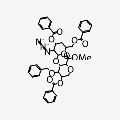 COC(=O)C1OCC(OC(=O)c2ccccc2)C(OCc2ccccc2)C1OC1OC(COC(=O)c2ccccc2)CC(OC(=O)c2ccccc2)C1N=[N+]=[N-]